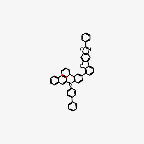 c1ccc(-c2ccc(N(c3ccc4ccccc4c3)c3ccc(-c4cccc5c4oc4cc6oc(-c7ccccc7)nc6cc45)cc3-c3ccccc3)cc2)cc1